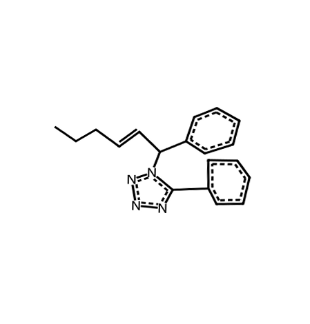 CCCC=CC(c1ccccc1)n1nnnc1-c1ccccc1